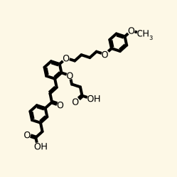 COc1ccc(OCCCCOc2cccc(C=CC(=O)c3cccc(CC(=O)O)c3)c2OCCC(=O)O)cc1